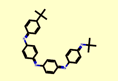 CC(C)(C)N=C1C=CC(N=C2C=CC(N=C3C=CC(N=C4C=CC(C(C)(C)C)C=C4)C=C3)C=C2)C=C1